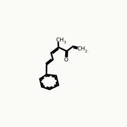 C=CC(=O)/C(C)=C\C=C\c1ccccc1